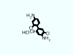 Cl.Cl.Nc1ccc(-c2ccc(N)c(Cl)c2)c(Cl)c1